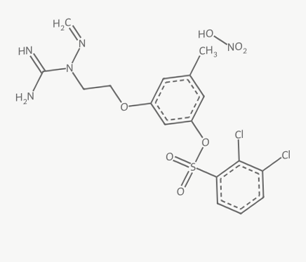 C=NN(CCOc1cc(C)cc(OS(=O)(=O)c2cccc(Cl)c2Cl)c1)C(=N)N.O=[N+]([O-])O